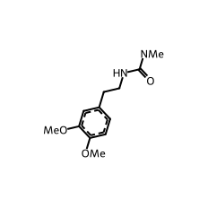 CNC(=O)NCCc1ccc(OC)c(OC)c1